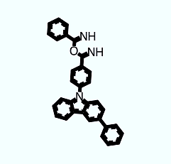 N=C(OC(=N)c1ccc(-n2c3ccccc3c3cc(-c4ccccc4)ccc32)cc1)c1ccccc1